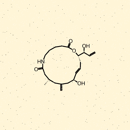 C=C[C@H](O)[C@@H]1C/C=C/[C@@H](O)CC(=C)C[C@H](C)CC(=O)NCCCCC(=O)O1